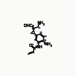 C=CC(=O)Nc1cc(O[C@@H](C=O)CN)ccc1N